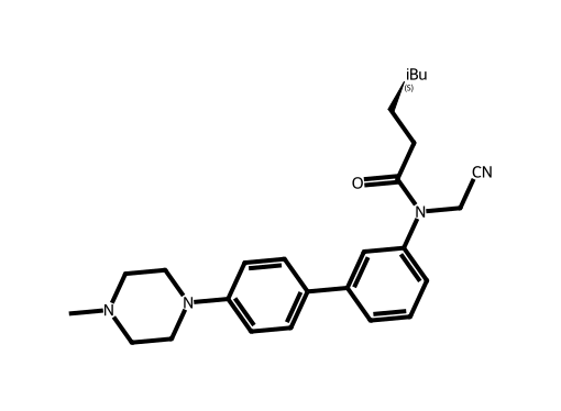 CC[C@H](C)CCC(=O)N(CC#N)c1cccc(-c2ccc(N3CCN(C)CC3)cc2)c1